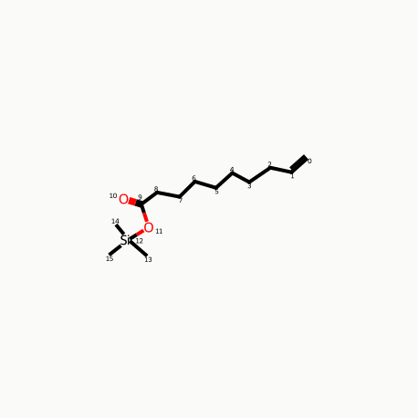 C=CCCCCCCCC(=O)O[Si](C)(C)C